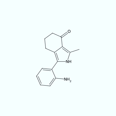 Cc1[nH]c(-c2ccccc2N)c2c1C(=O)CCC2